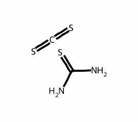 NC(N)=S.S=C=S